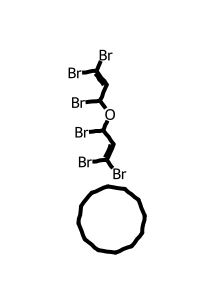 BrC(Br)=CC(Br)OC(Br)C=C(Br)Br.C1CCCCCCCCCCC1